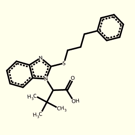 CC(C)(C)C(C(=O)O)n1c(SCCCc2ccccc2)nc2ccccc21